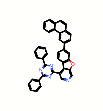 c1ccc(-c2nc(-c3ccccc3)nc(-c3cncc4oc5cc(-c6ccc7ccc8ccccc8c7c6)ccc5c34)n2)cc1